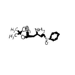 CC(C)(C)OC(=O)CC(N)/C=C/[S+]([O-])c1ccccc1